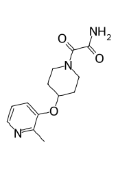 Cc1ncccc1OC1CCN(C(=O)C(N)=O)CC1